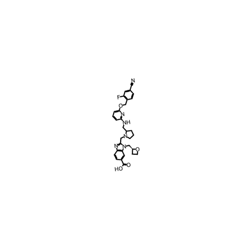 N#Cc1ccc(COc2cccc(NCC3CCCN3Cc3nc4ccc(C(=O)O)cc4n3C[C@@H]3CCO3)n2)c(F)c1